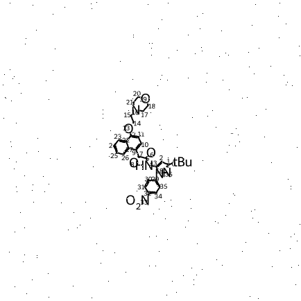 CC(C)(C)c1cc(NC(=O)C(=O)c2ccc(OCCN3CCOCC3)c3ccccc23)n(-c2ccc([N+](=O)[O-])cc2)n1